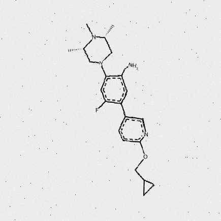 C[C@@H]1CN(c2cc(F)c(-c3ccc(OCC4CC4)nc3)cc2N)C[C@H](C)N1C